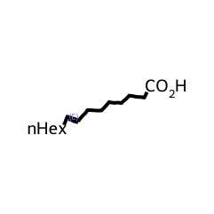 CCCCCC/C=C/CCCCCCC(=O)O